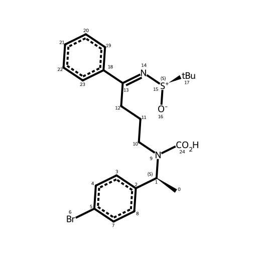 C[C@@H](c1ccc(Br)cc1)N(CCCC(=N[S@+]([O-])C(C)(C)C)c1ccccc1)C(=O)O